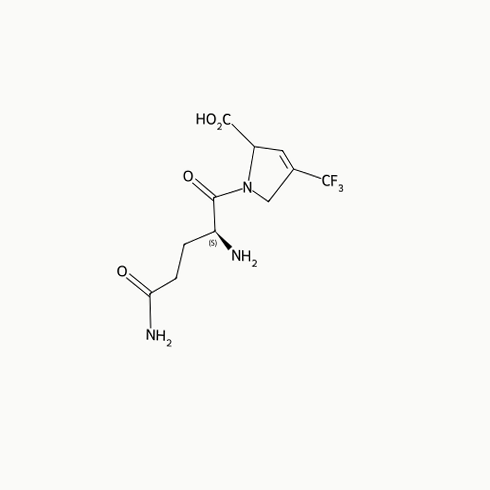 NC(=O)CC[C@H](N)C(=O)N1CC(C(F)(F)F)=CC1C(=O)O